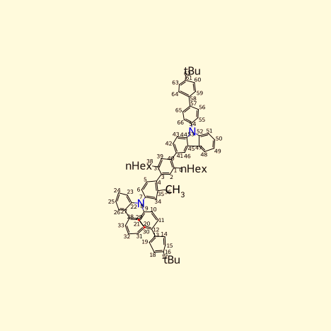 CCCCCCc1cc(-c2ccc(N(c3ccc(-c4ccc(C(C)(C)C)cc4)cc3)c3ccccc3-c3ccccc3)cc2C)c(CCCCCC)cc1-c1ccc2c(c1)c1ccccc1n2-c1ccc(-c2ccc(C(C)(C)C)cc2)cc1